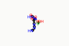 Cn1c(=O)n(C2CCC(=O)NC2=O)c2ccc(C3CCN(C4CCN(CC5CCNCC5)CC4)CC3)cc21.O=C(O)C(F)(F)F